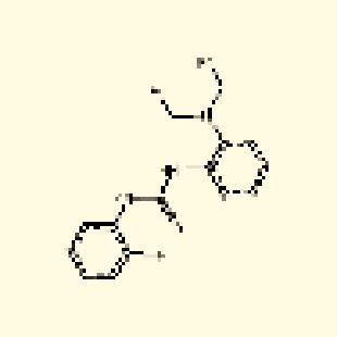 CC(C)CN(CC(C)C)c1ccccc1NC(=O)Nc1ccccc1F